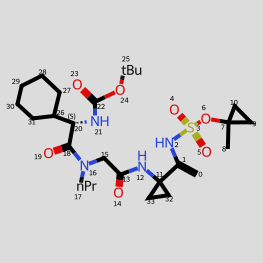 C=C(NS(=O)(=O)OC1(C)CC1)C1(NC(=O)CN(CCC)C(=O)[C@@H](NC(=O)OC(C)(C)C)C2CCCCC2)CC1